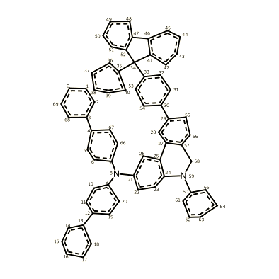 c1ccc(-c2ccc(N(c3ccc(-c4ccccc4)cc3)c3ccc4c(c3)-c3cc(-c5ccc(C6(c7ccccc7)c7ccccc7-c7ccccc76)cc5)ccc3CN4c3ccccc3)cc2)cc1